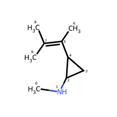 CNC1CC1C(C)=C(C)C